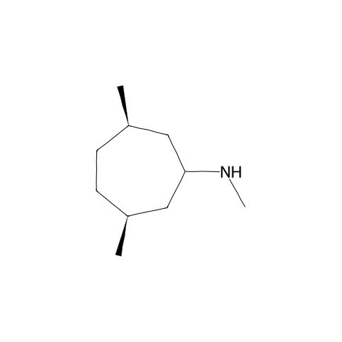 CNC1C[C@H](C)CC[C@H](C)C1